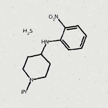 CC(C)N1CCC(Nc2ccccc2[N+](=O)[O-])CC1.S